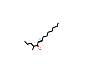 [CH2]C(CCC)C(=O)/C=C/CCCCCCC